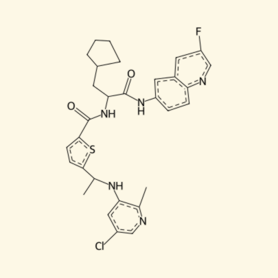 Cc1ncc(Cl)cc1NC(C)c1ccc(C(=O)NC(CC2CCCC2)C(=O)Nc2ccc3ncc(F)cc3c2)s1